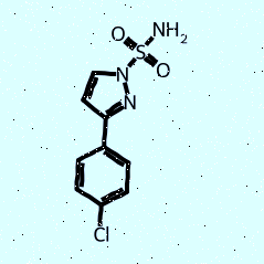 NS(=O)(=O)n1ccc(-c2ccc(Cl)cc2)n1